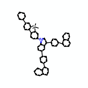 C[Si]1(C)c2cc(-c3ccccc3)ccc2-c2ccc(-n3cc(-c4ccc(-c5cccc6ccccc56)cc4)c4cc(-c5ccc(-c6cccc7ccccc67)cc5)ccc43)cc21